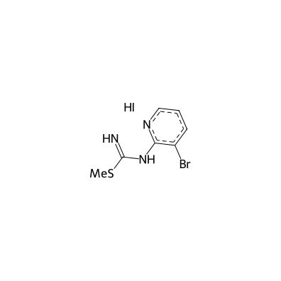 CSC(=N)Nc1ncccc1Br.I